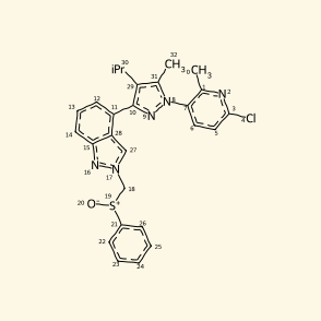 Cc1nc(Cl)ccc1-n1nc(-c2cccc3nn(C[S+]([O-])c4ccccc4)cc23)c(C(C)C)c1C